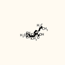 CC(C)CCN1CCC(CC(C)(C)CC[N+](C)(C)C)[C@H]1C(=O)O